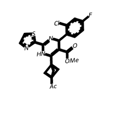 COC(=O)C1=C(C23CC(C(C)=O)(C2)C3)NC(c2nccs2)=NC1c1ccc(F)cc1Cl